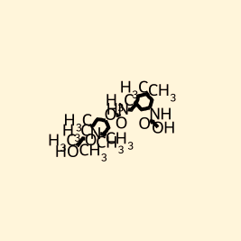 CC(C)(O)CON1C(C)(C)CC(OC(=O)NCC2(C)CC(NC(=O)O)CC(C)(C)C2)CC1(C)C